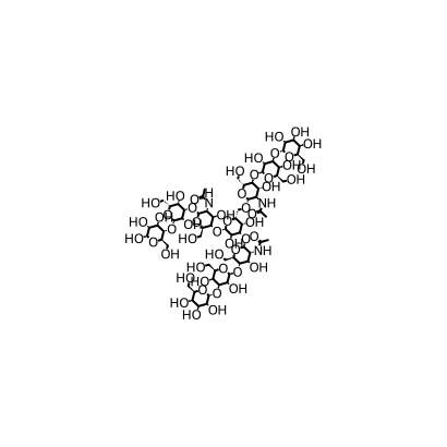 CC(=O)N[C@H]1[C@H](OC[C@H]2O[C@@H](O[C@H]3[C@H](O)[C@@H](NC(C)=O)[C@H](O[C@H]4[C@@H](O)[C@@H](CO)O[C@@H](O[C@H]5[C@H](O)[C@@H](O)[C@H](O)O[C@@H]5CO)[C@@H]4O)O[C@@H]3CO)[C@H](O)[C@@H](O[C@@H]3O[C@H](CO)[C@@H](O[C@@H]4O[C@H](CO)[C@H](O)[C@H](O[C@H]5O[C@H](CO)[C@H](O)[C@H](O)[C@H]5O)[C@H]4O)[C@H](O)[C@H]3NC(C)=O)[C@H]2O)O[C@H](CO)[C@@H](O[C@@H]2O[C@H](CO)[C@H](O)[C@H](O[C@H]3O[C@H](CO)[C@H](O)[C@H](O)[C@H]3O)[C@H]2O)[C@@H]1O